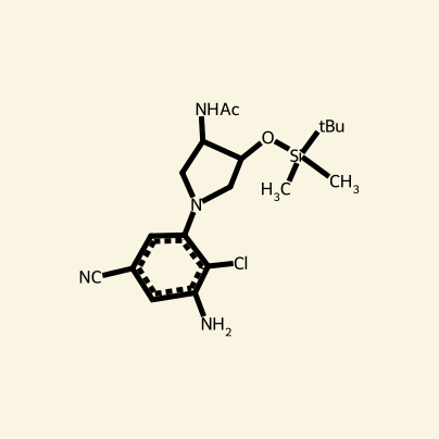 CC(=O)NC1CN(c2cc(C#N)cc(N)c2Cl)CC1O[Si](C)(C)C(C)(C)C